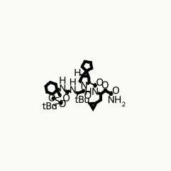 CC(C)(C)[C@H](NC(=O)NC1(CS(=O)(=O)C(C)(C)C)CCCCC1)C(=O)N1C[C@H]2C([C@H]1C(=O)NC(CC1CC1)C(=O)C(N)=O)C21CCCC1